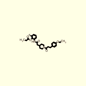 CCOc1ccc(CCC(=O)N2CCC(CC(=O)Nc3cccc(F)c3OC(=O)CC)CC2)cc1